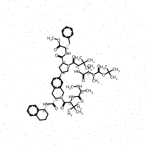 CN[C@@H](C)C(=O)N[C@H](C(=O)N1Cc2cc([C@H]3C[C@@H](C(=O)N[C@@H](Cc4ccccc4)C(=O)OC)N(C(=O)[C@@H](NC(=O)[C@H](C)N(C)C(=O)OC(C)(C)C)C(C)(C)C)C3)ccc2C[C@H]1C(=O)N[C@@H]1CCCc2ccccc21)C(C)(C)C